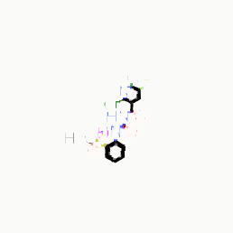 CS(=O)(=O)c1ccccc1NC(=O)NC(=O)c1cc(F)c(Cl)nc1Cl